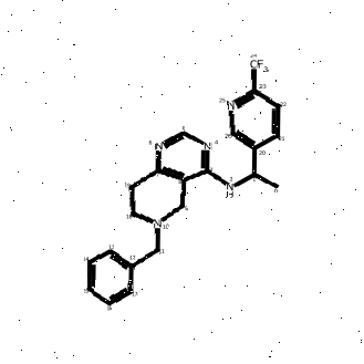 CC(Nc1ncnc2c1CN(Cc1ccccc1)CC2)c1ccc(C(F)(F)F)nc1